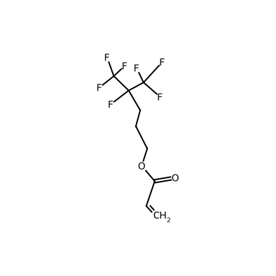 C=CC(=O)OCCCC(F)(C(F)(F)F)C(F)(F)F